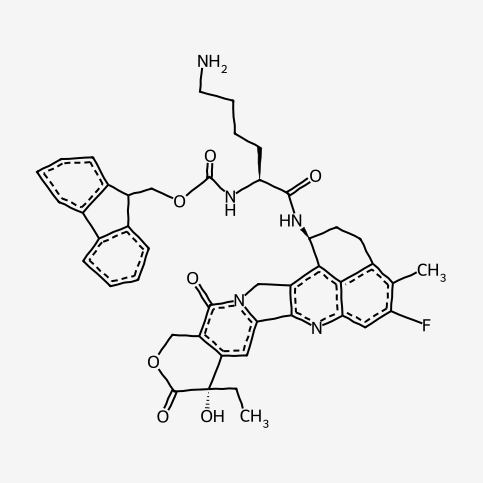 CC[C@@]1(O)C(=O)OCc2c1cc1n(c2=O)Cc2c-1nc1cc(F)c(C)c3c1c2[C@@H](NC(=O)[C@H](CCCCN)NC(=O)OCC1c2ccccc2-c2ccccc21)CC3